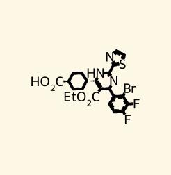 CCOC(=O)C1=C([C@H]2CC[C@H](C(=O)O)CC2)NC(c2nccs2)=NC1c1ccc(F)c(F)c1Br